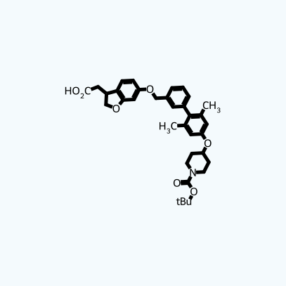 Cc1cc(OC2CCN(C(=O)OC(C)(C)C)CC2)cc(C)c1-c1cccc(COc2ccc3c(c2)OCC3CC(=O)O)c1